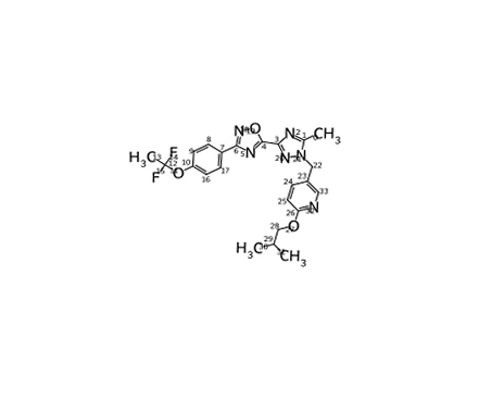 Cc1nc(-c2nc(-c3ccc(OC(C)(F)F)cc3)no2)nn1Cc1ccc(OCC(C)C)nc1